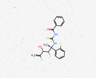 C=C(F)[C@@H](O)[C@H](F)[C@](C)(NC(=S)NC(=O)c1ccccc1)c1ccccc1F